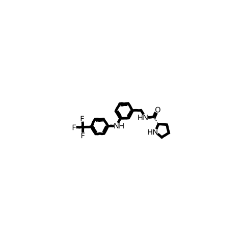 O=C(NCc1cccc(Nc2ccc(C(F)(F)F)cc2)c1)[C@@H]1CCCN1